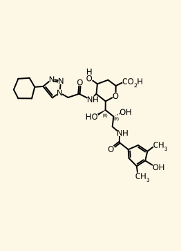 Cc1cc(C(=O)NC[C@@H](O)[C@@H](O)C2OC(C(=O)O)CC(O)C2NC(=O)Cn2cc(C3CCCCC3)nn2)cc(C)c1O